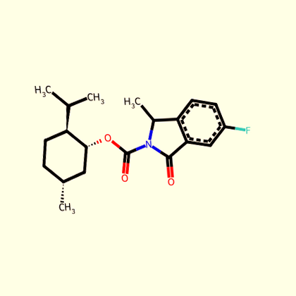 CC(C)[C@@H]1CC[C@@H](C)C[C@H]1OC(=O)N1C(=O)c2cc(F)ccc2C1C